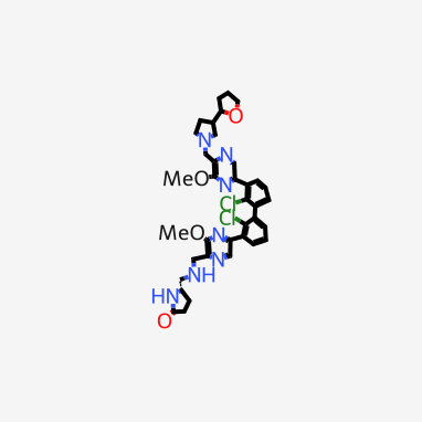 COc1nc(-c2cccc(-c3cccc(-c4cnc(CN5CCC(C6CCCO6)C5)c(OC)n4)c3Cl)c2Cl)cnc1CNC[C@@H]1CCC(=O)N1